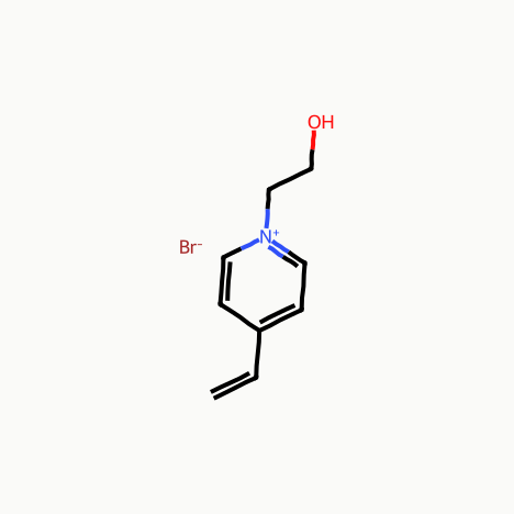 C=Cc1cc[n+](CCO)cc1.[Br-]